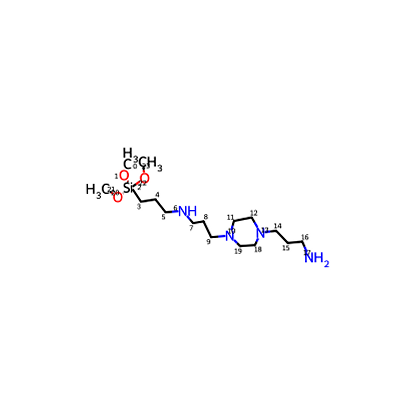 CO[Si](CCCNCCCN1CCN(CCCN)CC1)(OC)OC